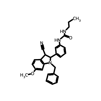 CCCNC(=O)Nc1cccc(C2C(C#N)c3ccc(OC)cc3N2Cc2ccccc2)c1